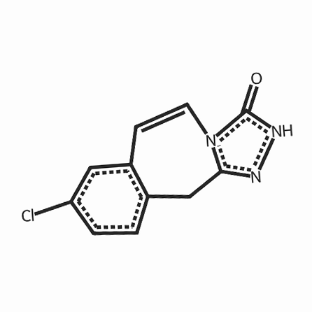 O=c1[nH]nc2n1C=Cc1cc(Cl)ccc1C2